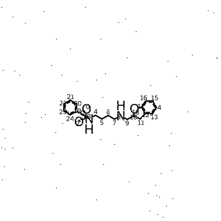 O=S(=O)(NCCCCNCC1Cc2ccccc2O1)c1ccccc1